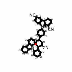 CC12C(C#N)=CC=CC1c1cc(C#N)ccc1N2c1ccc(C2=CCC(c3ccccc3N3c4ccccc4C4C=CC=CC43)C(C#N)=C2)cc1